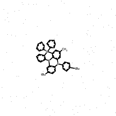 Cc1cc2c3c(c1)[Si](c1ccccc1)(c1ccccc1)c1ccccc1B3c1cc(C(C)(C)C)ccc1N2c1ccc(C(C)(C)C)cc1